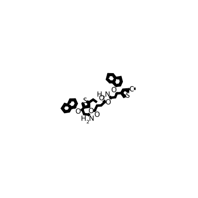 CCc1cc(C(CC(N)OC(=O)CCC(=O)OC(N)CC(Oc2cccc3ccccc23)c2csc(CC)c2)Oc2cccc3ccccc23)cs1